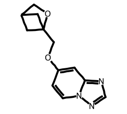 c1nc2cc(OCC34CC(CO3)C4)ccn2n1